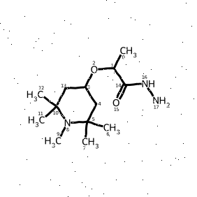 CC(OC1CC(C)(C)N(C)C(C)(C)C1)C(=O)NN